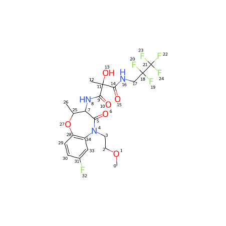 COCCN1C(=O)C(NC(=O)C(C)(O)C(=O)NCC(F)(F)C(F)(F)F)C(C)Oc2ccc(F)cc21